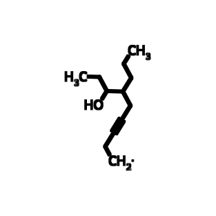 [CH2]CC#CCC(CCC)C(O)CC